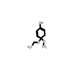 CCOC1(OC)C=CC(O)=CC1